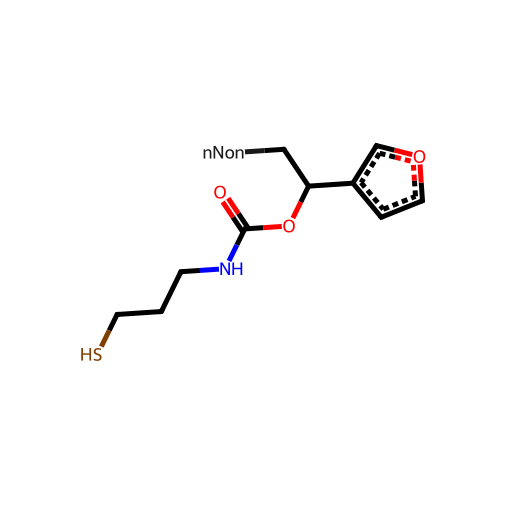 CCCCCCCCCCC(OC(=O)NCCCS)c1ccoc1